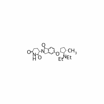 CCN(CC)[C@@H]1[C@@H](C)CC[C@H]1Oc1ccc2c(c1)CN(C1CCC(=O)NC1=O)C2=O